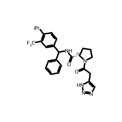 CC(C)c1ccc(C(NC(=O)[C@@H]2CCCN2C(=O)Cc2cnn[nH]2)c2ccccc2)cc1C(F)(F)F